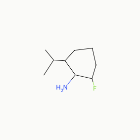 CC(C)C1CCCC(F)C1N